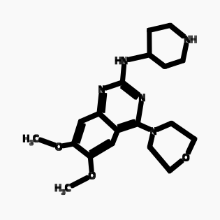 COc1cc2nc(NC3CCNCC3)nc(N3CCOCC3)c2cc1OC